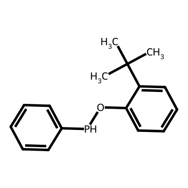 CC(C)(C)c1ccccc1OPc1ccccc1